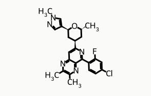 Cc1nc2cc([C@@H]3C[C@@H](C)O[C@H](c4cnn(C)c4)C3)nc(-c3ccc(Cl)cc3F)c2nc1C